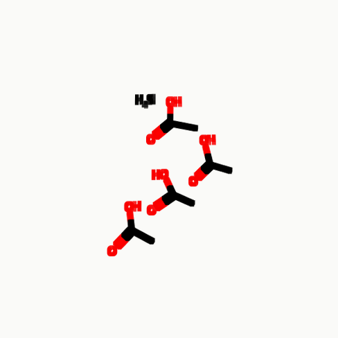 CC(=O)O.CC(=O)O.CC(=O)O.CC(=O)O.[SiH4]